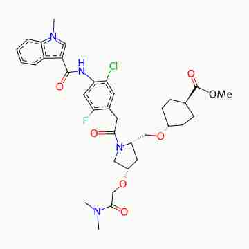 COC(=O)[C@H]1CC[C@H](OC[C@@H]2C[C@H](OCC(=O)N(C)C)CN2C(=O)Cc2cc(Cl)c(NC(=O)c3cn(C)c4ccccc34)cc2F)CC1